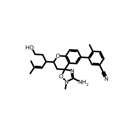 CC(C)=CC(CCO)C1CC2(N=C(N)N(C)O2)c2cc(-c3cc(C#N)ccc3C)ccc2O1